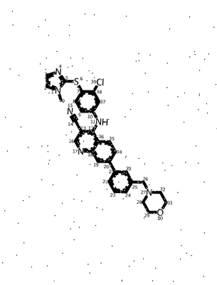 Cn1ccnc1Sc1ccc(Nc2c(C#N)cnc3cc(-c4cccc(CN5CCOCC5)c4)ccc23)cc1Cl